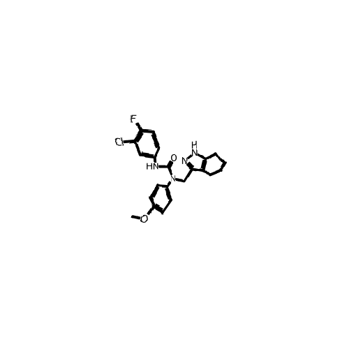 COc1ccc(N(Cc2n[nH]c3c2CCCC3)C(=O)Nc2ccc(F)c(Cl)c2)cc1